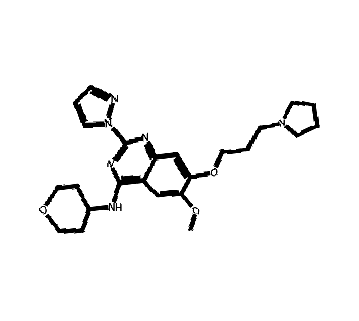 COc1cc2c(NC3CCOCC3)nc(-n3cccn3)nc2cc1OCCCN1CCCC1